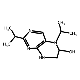 CC(C)c1ncc2c(n1)NCC(O)N2C(C)C